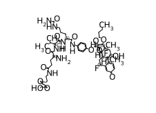 CCCC1O[C@@H]2C[C@H]3[C@@H]4C[C@H](F)C5=CC(=O)C=C[C@]5(C)[C@@]4(F)[C@@H](O)C[C@]3(C)[C@]2(C(=O)COc2ccc(NC(=O)[C@H](CCCNC(N)=O)NC(=O)[C@@H](NC(=O)[C@H](N)CCC(=O)NCCS(=O)(=O)O)C(C)C)cc2)O1